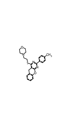 Cc1ccc(-c2nc3c(c(SCCN4CCOCC4)n2)Cc2ccccc2O3)cc1